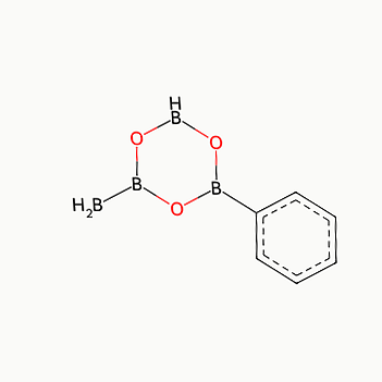 BB1OBOB(c2ccccc2)O1